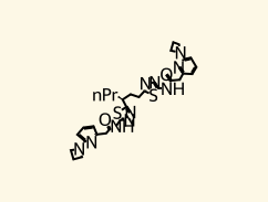 CCC[C@@H](CCc1nnc(NC(=O)Cc2cccc(N3CCC3)n2)s1)c1nnc(NC(=O)Cc2cccc(N3CCC3)n2)s1